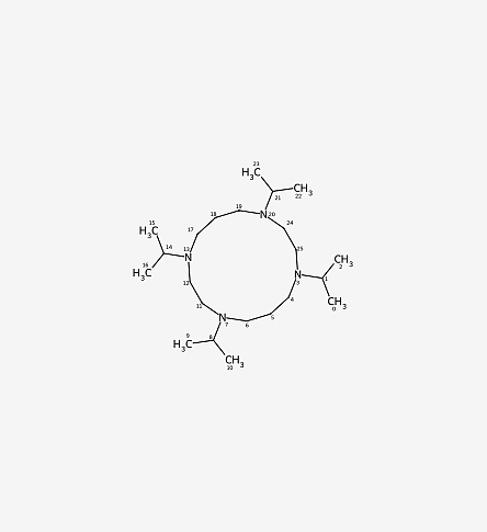 CC(C)N1CCCN(C(C)C)CCN(C(C)C)CCCN(C(C)C)CC1